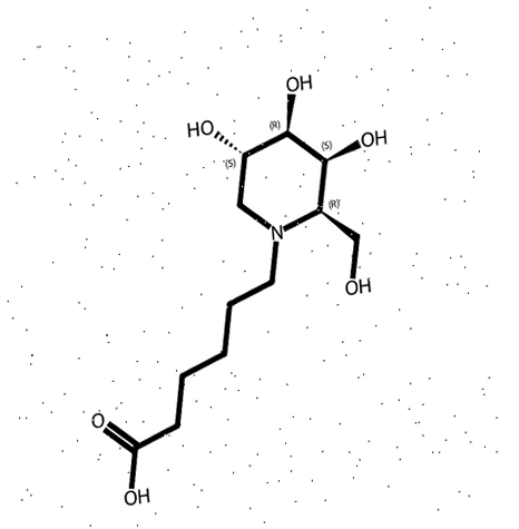 O=C(O)CCCCCN1C[C@H](O)[C@@H](O)[C@@H](O)[C@H]1CO